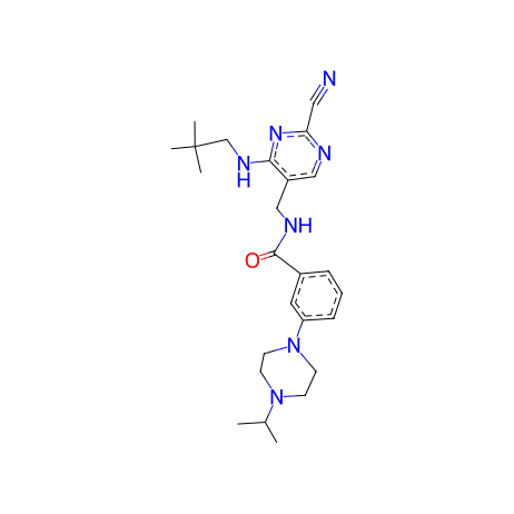 CC(C)N1CCN(c2cccc(C(=O)NCc3cnc(C#N)nc3NCC(C)(C)C)c2)CC1